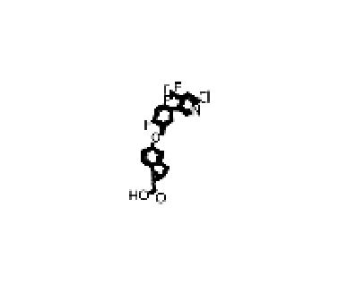 O=C(O)C1C2Cc3cc(OCc4cc(-c5cnc(Cl)cc5C(F)(F)F)ccc4F)ccc3C21